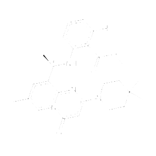 COC(=O)c1c(F)cccc1N[C@H](C)c1cc(C)cn2c(=O)cc(N3CCC(C)(C)CC3)nc12